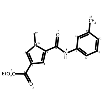 CCOC(=O)C(=O)c1cc(C(=O)Nc2cccc(C(F)(F)F)c2)n(C)c1